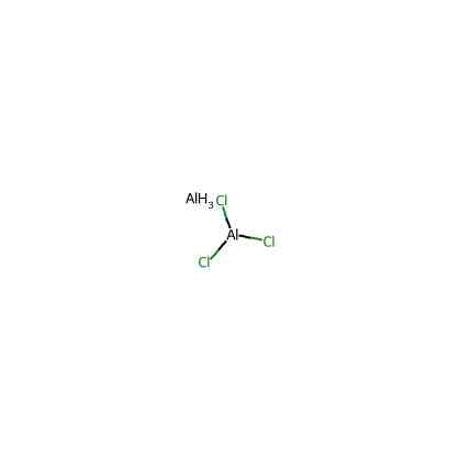 [AlH3].[Cl][Al]([Cl])[Cl]